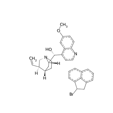 BrC1Cc2cccc3cccc1c23.C=C[C@H]1C[N@]2CC[C@H]1C[C@H]2[C@H](O)c1ccnc2ccc(OC)cc12